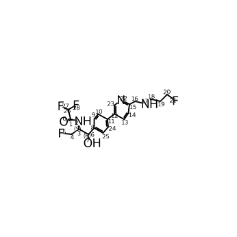 O=C(N[C@H](CF)[C@H](O)c1ccc(-c2ccc(CNCCCF)nc2)cc1)C(F)F